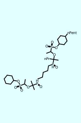 CCCCCC1CCC(OS(=O)(=O)C(C)OC(C)(CCC)[PH](=O)CCCCC[PH](=O)C(C)(C)OC(C)S(=O)(=O)OC2CCCCC2)CC1